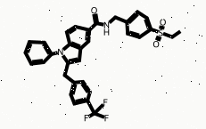 CCS(=O)(=O)c1ccc(CNC(=O)c2ccc3c(c2)cc(Cc2ccc(C(F)(F)F)cc2)n3-c2ccccc2)cc1